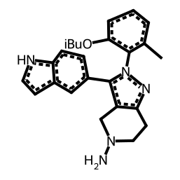 Cc1cccc(OCC(C)C)c1-n1nc2c(c1-c1ccc3[nH]ccc3c1)CN(N)CC2